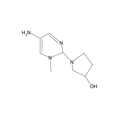 CN1C=C(N)C=NC1N1CCC(O)C1